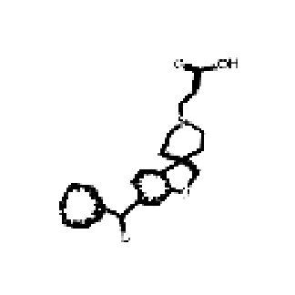 O=C(O)CCN1CCC2(CC1)COc1cc(C(=O)c3ccccc3)ccc12